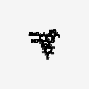 COc1cc(-c2noc(C)n2)c(C(=O)c2ccc(C)cc2)c([N+](=O)[O-])c1O